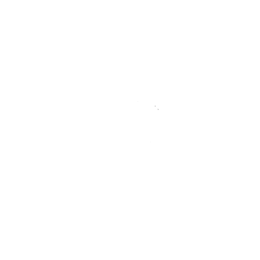 C1=CCC2C(=C1)OC=NC1CC12